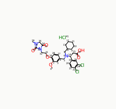 COc1cc(CN(CC2CCCCC2)[C@@H](CC(=O)O)c2ccc(Cl)c(Cl)c2)ccc1OCCN1C(=O)CN(C)C1=O.Cl